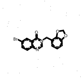 O=c1c2cc(Br)ccc2ncn1Cc1cccc2c1OCO2